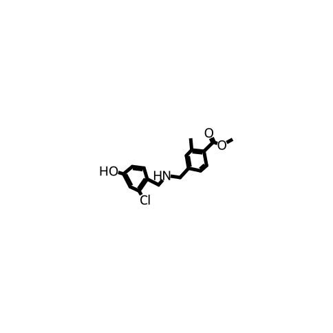 COC(=O)c1ccc(CNCc2ccc(O)cc2Cl)cc1C